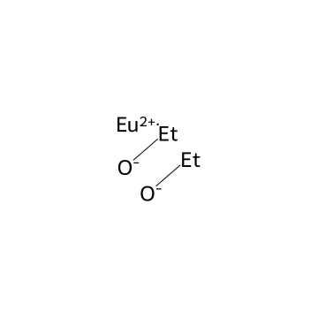 CC[O-].CC[O-].[Eu+2]